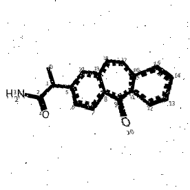 CC(C(N)=O)c1ccc2c(=O)c3ccccc3ccc2c1